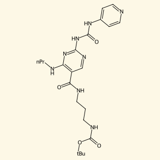 CCCNc1nc(NC(=O)Nc2ccncc2)ncc1C(=O)NCCCNC(=O)OC(C)(C)C